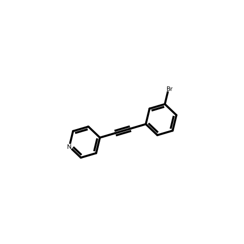 Brc1cccc(C#Cc2ccncc2)c1